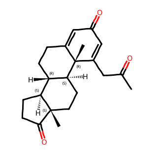 CC(=O)CC1=CC(=O)C=C2CC[C@@H]3[C@H](CC[C@]4(C)C(=O)CC[C@@H]34)[C@]21C